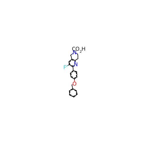 O=C(O)N1CCc2nc(-c3ccc(OCc4ccccc4)cc3)c(F)cc2C1